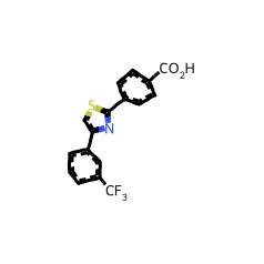 O=C(O)c1ccc(-c2nc(-c3cccc(C(F)(F)F)c3)cs2)cc1